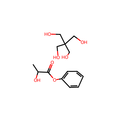 CC(O)C(=O)Oc1ccccc1.OCC(CO)(CO)CO